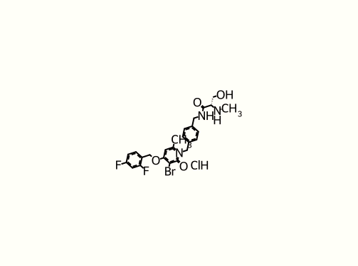 CN[C@@H](CO)C(=O)NCc1ccc(Cn2c(C)cc(OCc3ccc(F)cc3F)c(Br)c2=O)cc1.Cl